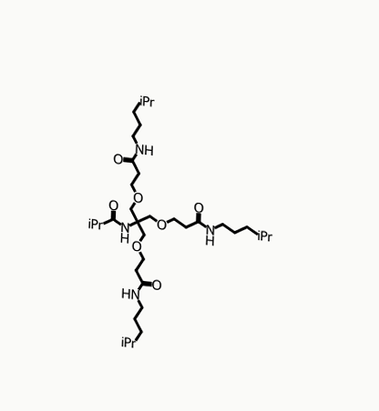 CC(C)CCCNC(=O)CCOCC(COCCC(=O)NCCCC(C)C)(COCCC(=O)NCCCC(C)C)NC(=O)C(C)C